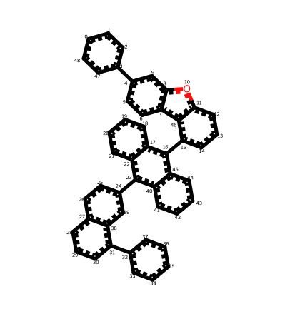 c1ccc(-c2ccc3c(c2)oc2cccc(-c4c5ccccc5c(-c5ccc6cccc(-c7ccccc7)c6c5)c5ccccc45)c23)cc1